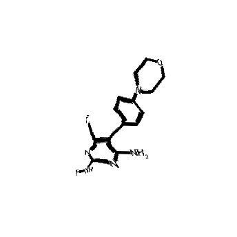 Nc1nc(NF)nc(F)c1-c1ccc(N2CCOCC2)cc1